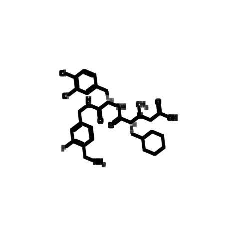 CN(CC(=O)O)[C@H](CC1CCCCC1)C(=O)N[C@@H](Cc1ccc(Cl)c(Cl)c1)C(=O)NCc1ccc(CN)c(F)c1